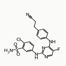 N#CCCc1ccc(Nc2nc(Nc3ccc(Cl)c(S(N)(=O)=O)c3)ncc2F)cc1